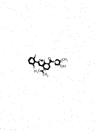 CC(C)[C@@H]1CCC(C(=O)N2C[C@H](C)[C@@H](O)C2)c2nnc(-c3c(F)cccc3F)cc21